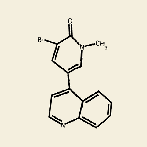 Cn1cc(-c2ccnc3ccccc23)cc(Br)c1=O